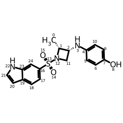 C[C@@H]1[C@H](Nc2ccc(O)cc2)CN1S(=O)(=O)c1ccc2cc[nH]c2c1